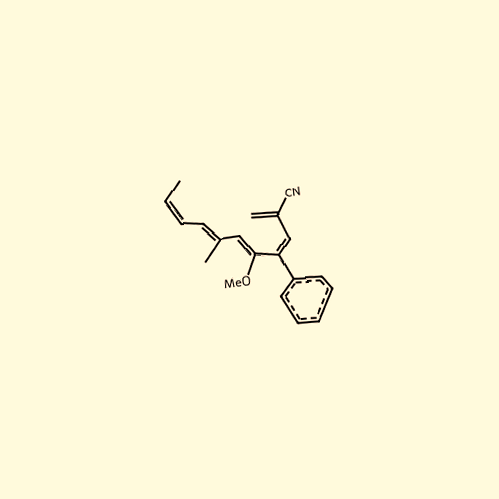 C=C(C#N)\C=C(/C(=C/C(C)=C/C=C\C)OC)c1ccccc1